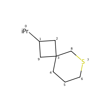 CC(C)C1CC2(CCCSC2)C1